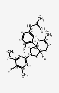 COc1nc(N2C[C@@H]3CN=C(N)S[C@@]3(c3cc(NC(C)C)ccc3F)C2)nc(C)c1F